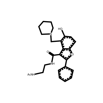 CC(=O)NCCNC(=O)c1c(-c2ccccc2)oc2ccc(O)c(CN3CCCCC3)c12